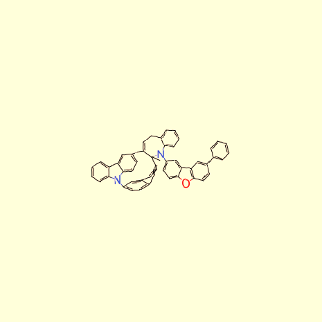 CC12C(=CCc3ccccc3N1c1ccc3oc4ccc(-c5ccccc5)cc4c3c1)c1ccc3c(c1)c1ccccc1n3-c1ccc3cc2ccc3c1